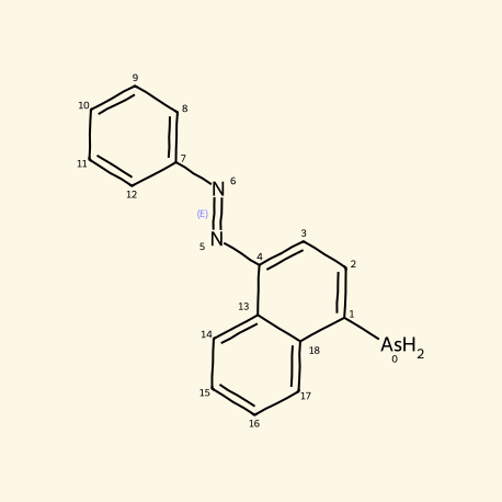 [AsH2]c1ccc(/N=N/c2ccccc2)c2ccccc12